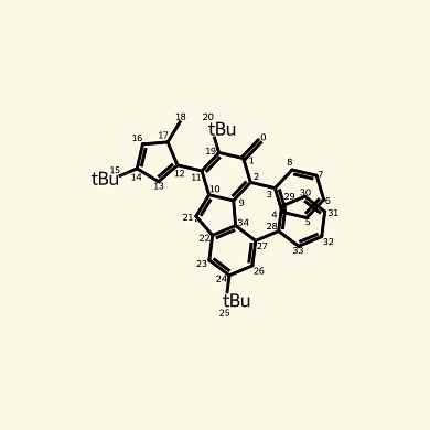 C=c1c(-c2ccccc2)c2c(c(C3=CC(C(C)(C)C)=CC3C)c1C(C)(C)C)=[C]c1cc(C(C)(C)C)cc(-c3ccccc3)c1-2